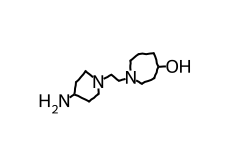 NC1CCN(CCN2CCCC(O)CC2)CC1